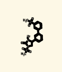 CC(C)N1C(=O)N(S(C)(=O)=O)CC1c1cccc(-c2cccc(S(C)(=O)=O)c2)c1